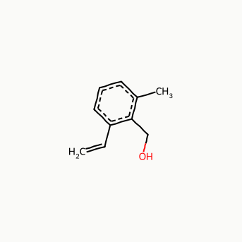 C=Cc1cccc(C)c1CO